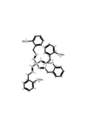 COc1ccccc1CN=N[Si](N=NCc1ccccc1OC)(N=NCc1ccccc1OC)N=NCc1ccccc1OC